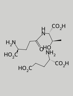 C[C@@H](O)[C@H](NC(=O)CC[C@H](N)C(=O)O)C(=O)O.N[C@@H](CCC(=O)O)C(=O)O